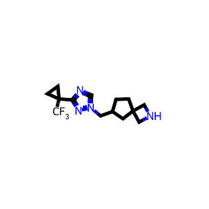 FC(F)(F)C1(c2ncn(CC3CCC4(CNC4)C3)n2)CC1